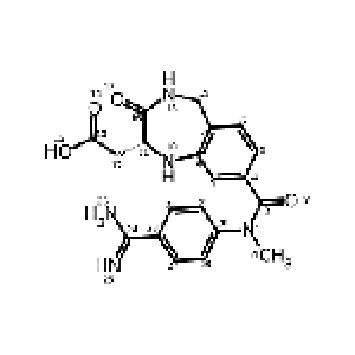 CN(C(=O)c1ccc2c(c1)N[C@H](CC(=O)O)C(=O)NC2)c1ccc(C(=N)N)cc1